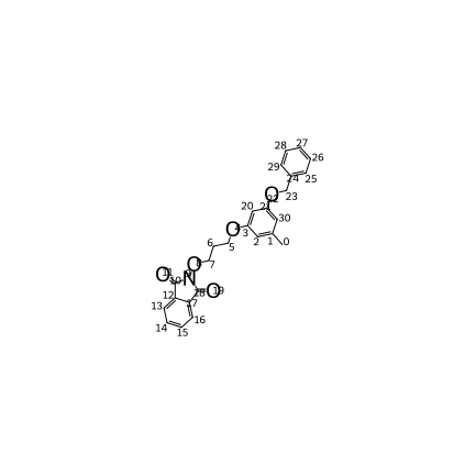 Cc1cc(OCCCON2C(=O)c3ccccc3C2=O)cc(OCc2ccccc2)c1